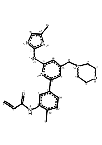 C=CC(=O)Nc1cc(-c2cc(CN3CCOCC3)cc(Nc3ncc(C)s3)n2)ccc1C